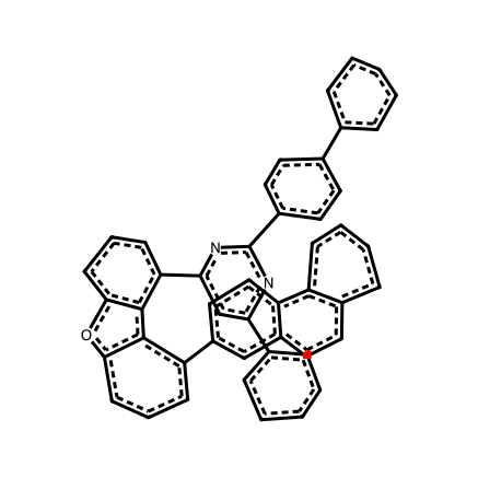 c1ccc(-c2ccc(-c3nc(-c4ccccc4)cc(-c4cccc5oc6cccc(-c7ccc8c(ccc9ccccc98)c7)c6c45)n3)cc2)cc1